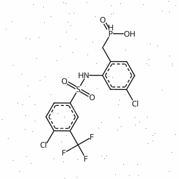 O=[PH](O)Cc1ccc(Cl)cc1NS(=O)(=O)c1ccc(Cl)c(C(F)(F)F)c1